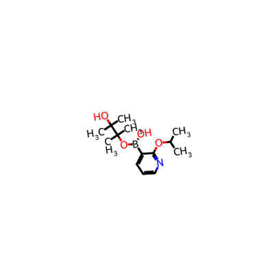 CC(C)Oc1ncccc1B(O)OC(C)(C)C(C)(C)O